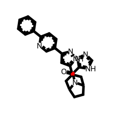 O=C(c1nnc[nH]1)N1C2CCC1CC(c1cc(-c3ccc(-c4ccccc4)nc3)n[nH]1)C2